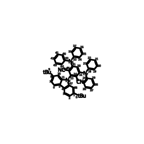 CC(C)(C)c1ccc2c3ccc(C(C)(C)C)cc3n(-c3c(C#N)c(N(c4ccccc4)c4ccccc4)cc(N(c4ccccc4)c4ccccc4)c3C#N)c2c1